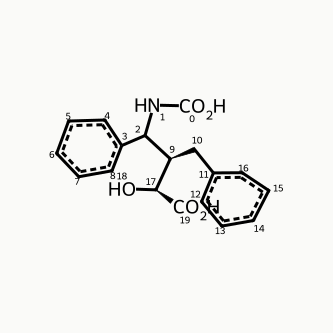 O=C(O)NC(c1ccccc1)[C@@H](Cc1ccccc1)[C@H](O)C(=O)O